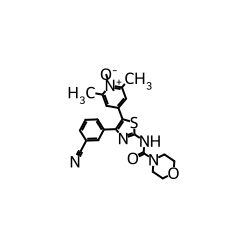 Cc1cc(-c2sc(NC(=O)N3CCOCC3)nc2-c2cccc(C#N)c2)cc(C)[n+]1[O-]